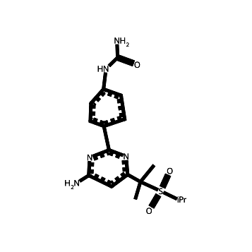 CC(C)S(=O)(=O)C(C)(C)c1cc(N)nc(-c2ccc(NC(N)=O)cc2)n1